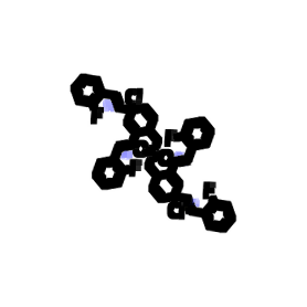 O=S(=O)(CC1C=CC(Cl)(/C=C/c2ccccc2F)C=C1/C=C/c1ccccc1F)CC1C=CC(Cl)(/C=C/c2ccccc2F)C=C1/C=C/c1ccccc1F